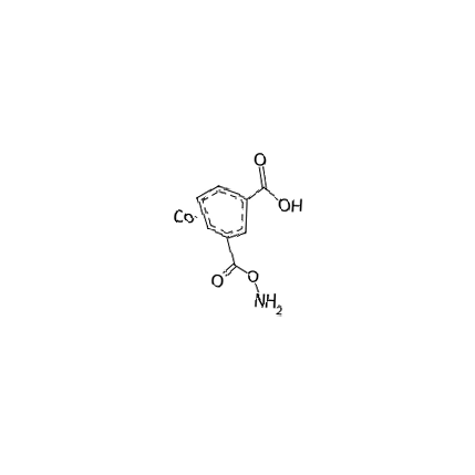 NOC(=O)c1cccc(C(=O)O)c1.[Co]